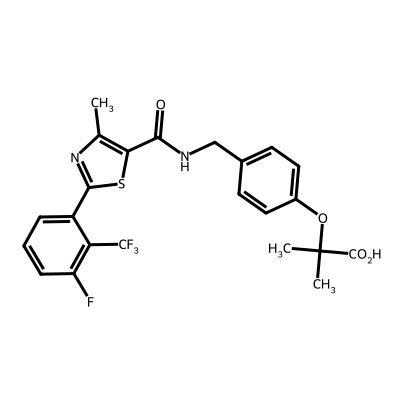 Cc1nc(-c2cccc(F)c2C(F)(F)F)sc1C(=O)NCc1ccc(OC(C)(C)C(=O)O)cc1